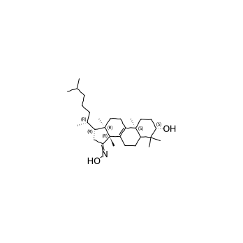 CC(C)CCC[C@@H](C)[C@H]1CC(=NO)[C@@]2(C)C3=C(CC[C@]12C)[C@@]1(C)CC[C@H](O)C(C)(C)C1CC3